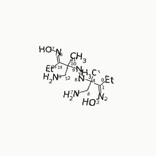 CCC(=NO)C(C)(CN)N=NC(C)(CN)C(CC)=NO